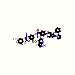 CC(C)c1ccccc1[C@H]1CCCN1C1CC2(CCN(c3ccc(C(=O)NSc4cc(N=O)c5c(c4)NC[C@H](C[C@H]4CC[C@](C)(O)CC4)O5)c(Oc4cnc5[nH]ccc5c4)c3)CC2)C1